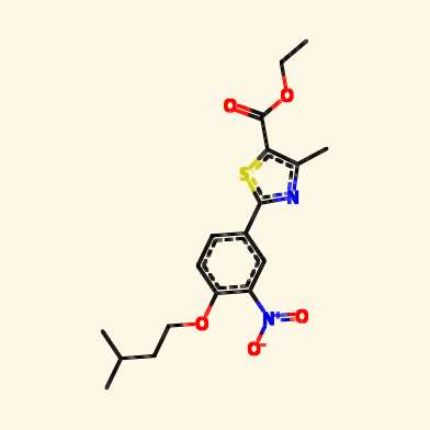 CCOC(=O)c1sc(-c2ccc(OCCC(C)C)c([N+](=O)[O-])c2)nc1C